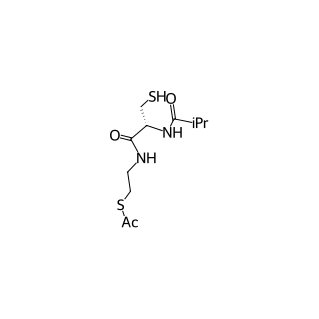 CC(=O)SCCNC(=O)[C@H](CS)NC(=O)C(C)C